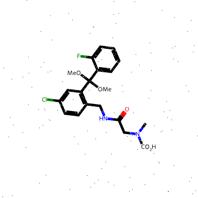 COC(OC)(c1ccccc1F)c1cc(Cl)ccc1CNC(=O)CN(C)C(=O)O